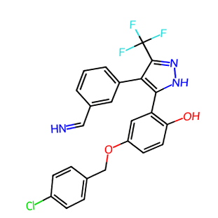 N=Cc1cccc(-c2c(C(F)(F)F)n[nH]c2-c2cc(OCc3ccc(Cl)cc3)ccc2O)c1